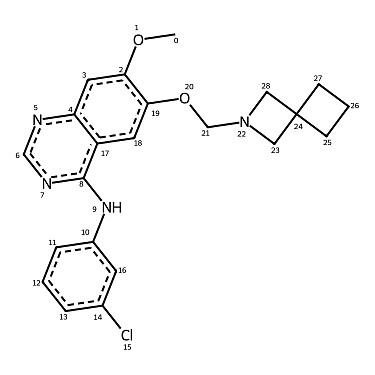 COc1cc2ncnc(Nc3cccc(Cl)c3)c2cc1OCN1CC2(CCC2)C1